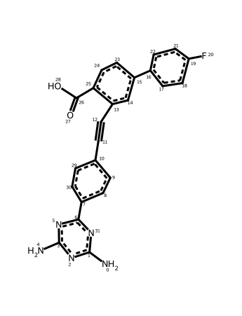 Nc1nc(N)nc(-c2ccc(C#Cc3cc(-c4ccc(F)cc4)ccc3C(=O)O)cc2)n1